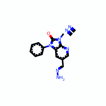 C#N.C#N.Cn1c(=O)n(-c2ccccc2)c2cc(C=NN)cnc21